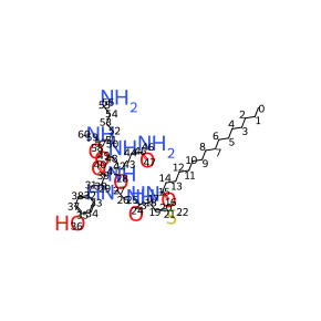 CCCCCCCCCCCCCCCC(=O)N[C@@H](CCSC)C(=O)NCC(=O)N[C@@H](Cc1ccc(O)cc1)C(=O)N[C@@H](CCC(N)=O)C(=O)N[C@H](CCCCN)C(=O)NC